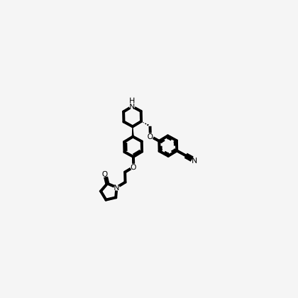 N#Cc1ccc(OC[C@H]2CNCC[C@@H]2C2C=CC(OCCN3CCCC3=O)=CC2)cc1